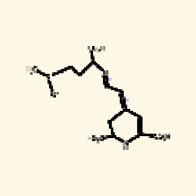 C[S+]([O-])CCC(/N=C/C=C1/C=C(C(=O)O)NC(C(=O)O)C1)C(=O)O